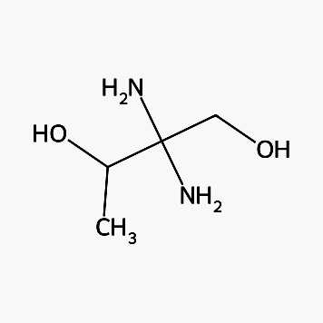 CC(O)C(N)(N)CO